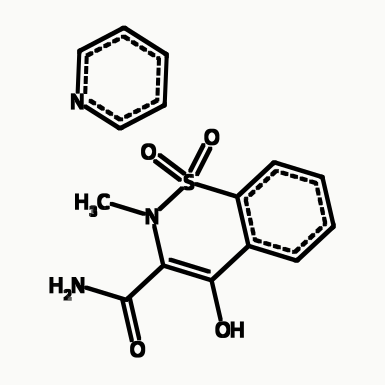 CN1C(C(N)=O)=C(O)c2ccccc2S1(=O)=O.c1ccncc1